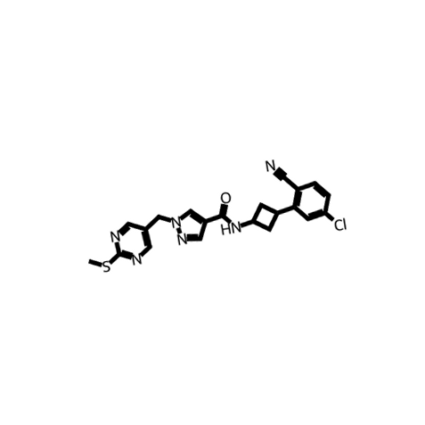 CSc1ncc(Cn2cc(C(=O)NC3CC(c4cc(Cl)ccc4C#N)C3)cn2)cn1